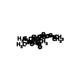 CCCCN(CCCC)C(=O)c1cc(-c2cc3c(cc2C(=O)N2Cc4ccccc4C[C@H]2C)CN(C(=O)Oc2ccc(OCCN(C)C)cc2)CC3)n(C)c1C